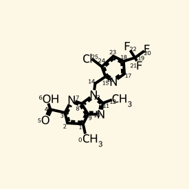 Cc1cc(C(=O)O)nc2c1nc(C)n2Cc1ncc(C(F)(F)F)cc1Cl